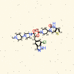 CN1CCC(N2CCN(C(=O)C(Cc3cc(Cl)c4[nH]ncc4c3)OC(=O)N3CCC(N4Cc5sccc5NC4=O)CC3)CC2)CC1